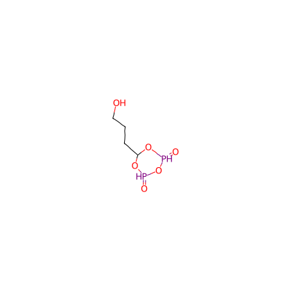 O=[PH]1OC(CCCO)O[PH](=O)O1